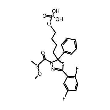 CON(C)C(=O)N1N=C(c2cc(F)ccc2F)SC1(CCCCOP(=O)(O)O)c1ccccc1